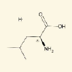 CC(C)C[C@H](N)C(=O)O.[H]